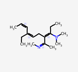 C/C=C\C(=C/CC(/C(C)=N\C)=C(\CC)N(C)C)CC